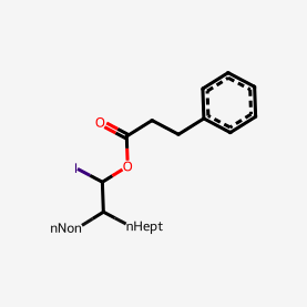 CCCCCCCCCC(CCCCCCC)C(I)OC(=O)CCc1ccccc1